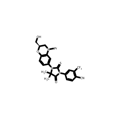 CC(C)N1C[C@H](CO)Oc2ccc(N3C(=S)N(c4ccc(C#N)c(C(F)(F)F)c4)C(=O)C3(C)C)cc21